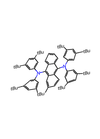 Cc1ccc2c(N(c3cc(C(C)(C)C)cc(C(C)(C)C)c3)c3cc(C(C)(C)C)cc(C(C)(C)C)c3)c3ccccc3c(N(c3cc(C(C)(C)C)cc(C(C)(C)C)c3)c3cc(C(C)(C)C)cc(C(C)(C)C)c3)c2c1